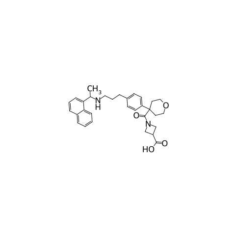 CC(NCCCc1ccc(C2(C(=O)N3CC(C(=O)O)C3)CCOCC2)cc1)c1cccc2ccccc12